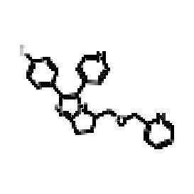 Fc1ccc(-c2nc3n(c2-c2ccncc2)C(COCc2ccccn2)CC3)cc1